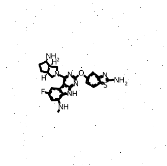 CNc1cc(F)cc2c1[nH]c1nc(Oc3ccc4sc(N)nc4c3)nc(N3C[C@H]4CC[C@@H](N)[C@H]4C3)c12